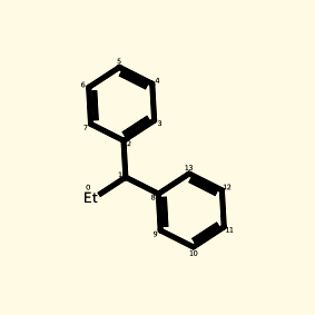 [CH2]C[C](c1ccccc1)c1ccccc1